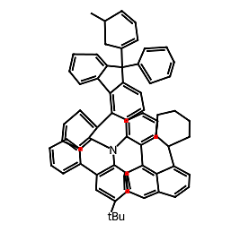 CC1C=CC=C(C2(c3ccccc3)c3ccccc3-c3c(-c4ccccc4N(c4ccc(C(C)(C)C)cc4-c4ccccc4)c4ccccc4-c4cccc5cccc(C6CCCCC6)c45)cccc32)C1